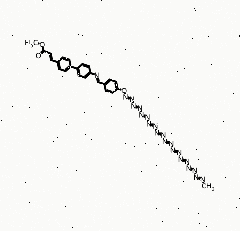 CN=NN=NN=NN=NN=NN=NN=NN=NN=NN=NOc1ccc(C=Nc2ccc(-c3ccc(C=CC(=O)OC)cc3)cc2)cc1